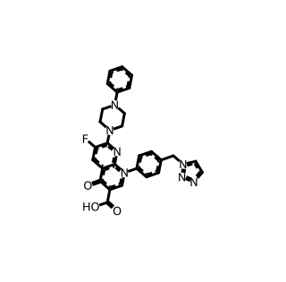 O=C(O)c1cn(-c2ccc(Cn3ccnn3)cc2)c2nc(N3CCN(c4ccccc4)CC3)c(F)cc2c1=O